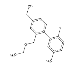 CCOCc1cc(CO)ccc1-c1cc(C)ccc1F